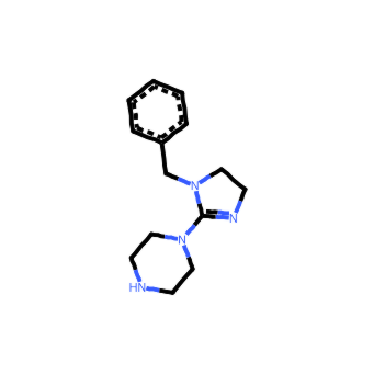 c1ccc(CN2CCN=C2N2CCNCC2)cc1